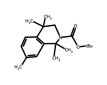 Cc1ccc2c(c1)C(C)(C)N(C(=O)OC(C)(C)C)CC2(C)C